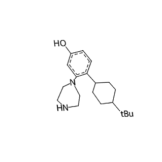 CC(C)(C)C1CCC(c2ccc(O)cc2N2CCNCC2)CC1